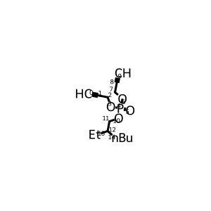 C#CCOP(=O)(OCC#C)OCC(CC)CCCC